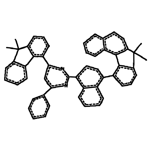 CC1(C)c2ccccc2-c2c(-c3cc(-c4ccccc4)nc(-c4ccc(-c5cccc6c5-c5c(ccc7ccccc57)C6(C)C)c5ccccc45)n3)cccc21